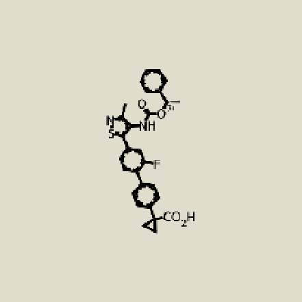 Cc1nsc(-c2ccc(-c3ccc(C4(C(=O)O)CC4)cc3)c(F)c2)c1NC(=O)O[C@H](C)c1ccccc1